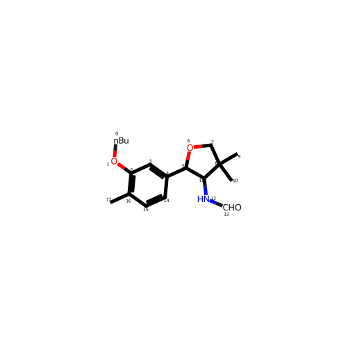 CCCCOc1cc(C2OCC(C)(C)C2NC=O)ccc1C